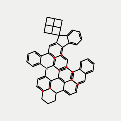 c1cc(-c2cccc3ccccc23)cc(N(c2ccccc2-c2ccc3c(c2)C2(c4ccccc4-3)C3CC4CC5CC2C453)c2ccccc2-c2cccc3cccc(C4CCCCC4)c23)c1